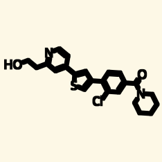 O=C(c1ccc(-c2csc(-c3ccnc(CCO)c3)c2)c(Cl)c1)N1CCCCC1